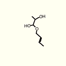 CC=CCOC(O)C(C)O